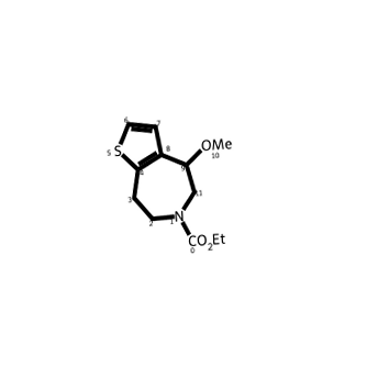 CCOC(=O)N1CCc2sccc2C(OC)C1